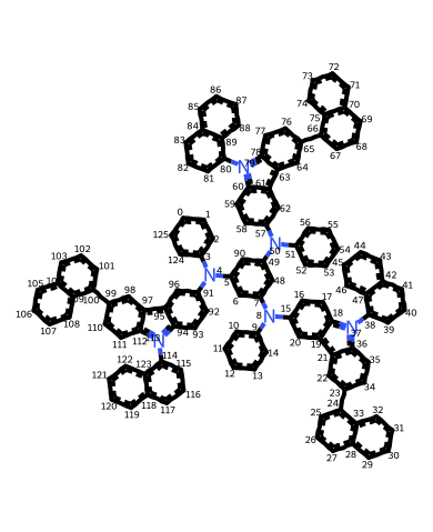 c1ccc(N(c2cc(N(c3ccccc3)c3ccc4c(c3)c3cc(-c5cccc6ccccc56)ccc3n4-c3cccc4ccccc34)cc(N(c3ccccc3)c3ccc4c(c3)c3cc(-c5cccc6ccccc56)ccc3n4-c3cccc4ccccc34)c2)c2ccc3c(c2)c2cc(-c4cccc5ccccc45)ccc2n3-c2cccc3ccccc23)cc1